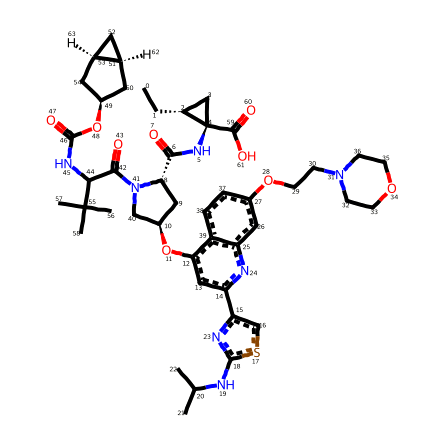 CC[C@@H]1C[C@]1(NC(=O)[C@@H]1C[C@@H](Oc2cc(-c3csc(NC(C)C)n3)nc3cc(OCCN4CCOCC4)ccc23)CN1C(=O)C(NC(=O)O[C@@H]1C[C@@H]2C[C@@H]2C1)C(C)(C)C)C(=O)O